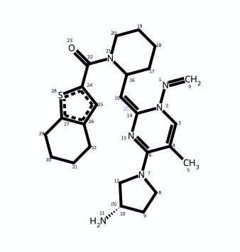 C=NN1C=C(C)C(N2CC[C@H](N)C2)=N/C1=C/C1CCCCN1C(=O)c1cc2c(s1)CCCC2